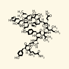 CC[C@H](C)[C@H](NC(=O)[C@@H](NC(=O)[C@H](Cc1ccc(O)cc1)NC(=O)[C@H](CS)NC(=O)CNC(=O)[C@H](Cc1ccc(O)cc1)NC(=O)[C@@H](N)CCC(N)=O)C(C)C)C(=O)N[C@@H](CCC(N)=O)C(=O)N[C@@H](Cc1c[nH]cn1)C(=O)N[C@H](C(=O)N[C@@H](CC(C)C)C(=O)N[C@@H](CCC(=O)O)C(=O)N[C@@H](Cc1c[nH]cn1)C(=O)O)C(C)C